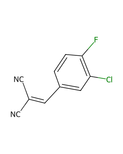 N#CC(C#N)=Cc1ccc(F)c(Cl)c1